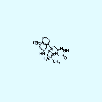 C=C(C)[C@@H]1N2CC(=O)NN=C2C[C@H](c2cccc(Cl)c2)[C@]12C(=O)Nc1cc(Cl)ccc12